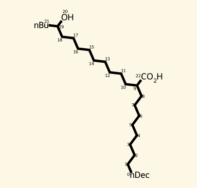 CCCCCCCCCCCCCCCCCCC(CCCCCCCCCC(O)CCCC)C(=O)O